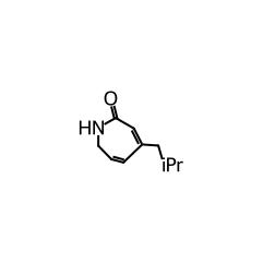 CC(C)CC1=CC(=O)NCC=C1